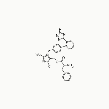 CCCCc1nc(Cl)c(COC(=O)C(N)Cc2ccccc2)n1Cc1ccc(-c2ccccc2-c2nn[nH]n2)cc1